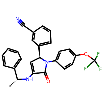 C[C@@H](NC1=C[C@@H](c2cccc(C#N)c2)N(c2ccc(OC(F)(F)F)cc2)C1=O)c1ccccc1